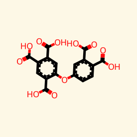 O=C(O)c1cc(C(=O)O)c(C(=O)O)cc1Oc1ccc(C(=O)O)c(C(=O)O)c1